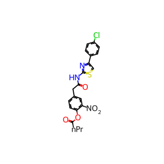 CCCC(=O)Oc1ccc(CC(=O)Nc2nc(-c3ccc(Cl)cc3)cs2)cc1[N+](=O)[O-]